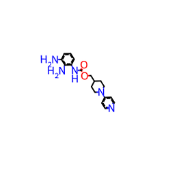 Nc1cccc(NC(=O)OCC2CCN(c3ccncc3)CC2)c1N